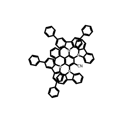 N#Cc1c(-n2c3ccccc3c3ccccc32)c(-n2c3ccc(-c4ccccc4)cc3c3cc(-c4ccccc4)ccc32)c(-c2c(F)cccc2F)c(-n2c3ccc(-c4ccccc4)cc3c3cc(-c4ccccc4)ccc32)c1-n1c2ccccc2c2ccccc21